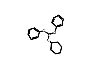 c1ccc(OP(Oc2ccccc2)OC2CCCCC2)cc1